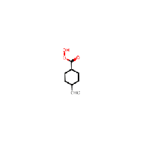 O=CC1CCC(C(=O)OO)CC1